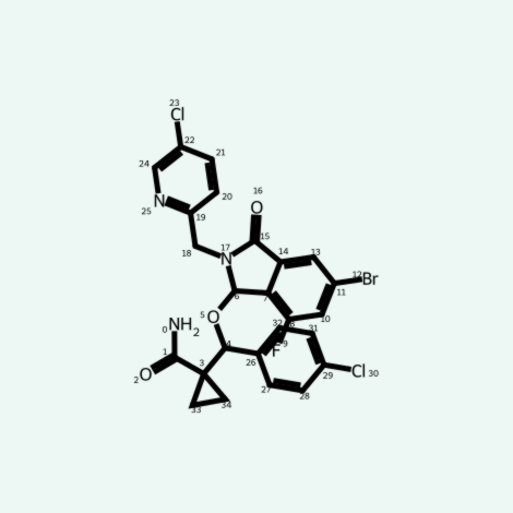 NC(=O)C1(C(OC2c3c(F)cc(Br)cc3C(=O)N2Cc2ccc(Cl)cn2)c2ccc(Cl)cc2)CC1